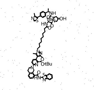 Cc1ncsc1-c1ccc(C(C)NC(=O)[C@@H]2C[C@@H](O)CN2C(=O)C(NC(=O)CCCCCCCCCn2nc(C)c(-c3ccc(N4CCc5cccc(C(=O)Nc6nc7ccccc7s6)c5C4)nc3C(=O)OC(C)(C)C)c2C)C(C)(C)C)cc1